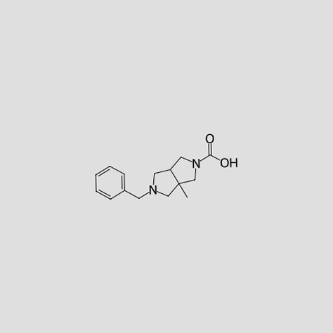 CC12CN(Cc3ccccc3)CC1CN(C(=O)O)C2